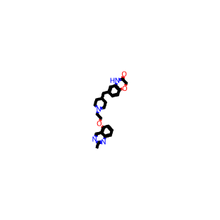 Cc1ncc2c(OCCN3CCC(Cc4ccc5c(c4)NC(=O)CO5)CC3)cccc2n1